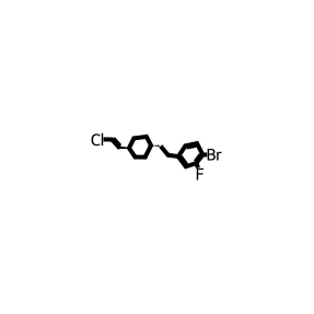 Fc1cc(CC[C@H]2CC[C@H](/C=C/Cl)CC2)ccc1Br